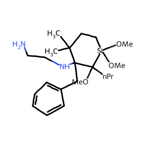 CCCC1(OC)C(Cc2ccccc2)(NCCN)C(C)(C)CC[Si]1(OC)OC